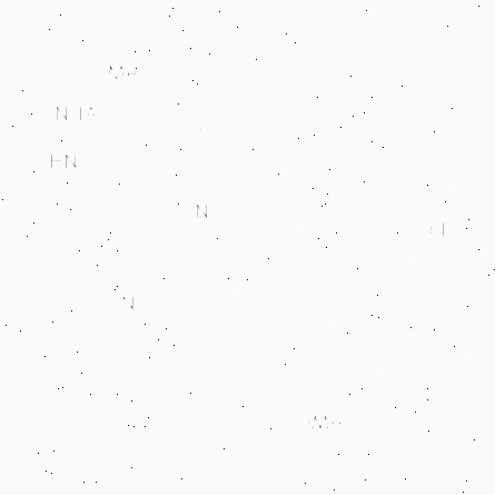 COC(=O)[C@@H](NNC(C)=O)C1C=Nc2ccc(OC)cc2C(c2ccc(Cl)cc2)=N1